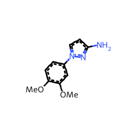 COc1ccc(-n2ccc(N)n2)cc1OC